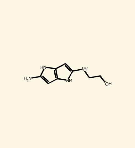 Nc1cc2[nH]c(NCCO)cc2[nH]1